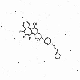 Oc1cc2c(c3c1=c1ccccc1=C(F)C(F)=C3F)COC(c1ccc(OCCN3CCCC3)cc1)C=2